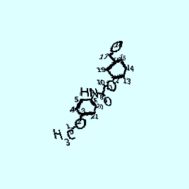 CCOc1ccc(NC(=O)COc2cccc(C=O)c2)cc1